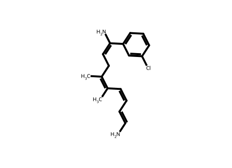 CC(/C=C\C=C\N)=C(\C)C/C=C(/N)c1cccc(Cl)c1